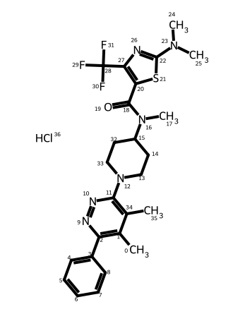 Cc1c(-c2ccccc2)nnc(N2CCC(N(C)C(=O)c3sc(N(C)C)nc3C(F)(F)F)CC2)c1C.Cl